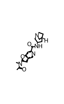 CC(=O)N(C)c1cc2cnc(C(=O)N[C@@H]3C[C@H]4CCN(C4)C3)cc2o1